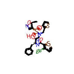 Cc1oncc1S(=O)(=O)N(Cc1cccs1)C[C@@H](O)[C@H](Cc1ccccc1)NC(=O)c1sccc1Br